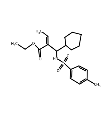 CC=C(C(=O)OCC)C(NS(=O)(=O)c1ccc(C)cc1)C1CCCCC1